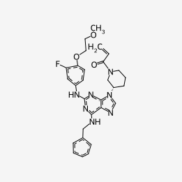 C=CC(=O)N1CCC[C@H](n2cnc3c(NCc4ccccc4)nc(Nc4ccc(OCCOC)c(F)c4)nc32)C1